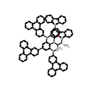 CCN(c1ccc2c3ccccc3c3ccccc3c2c1)c1cc(-c2ccc3c4ccccc4c4ccccc4c3c2)cc2c1B(C(C)[C@@H](C)n1c3ccccc3c3ccccc31)c1ccc(-n3c4ccccc4c4ccccc43)cc1N2c1ccc2c3ccccc3c3ccccc3c2c1